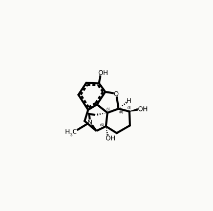 CN1CC[C@]23c4c5ccc(O)c4O[C@H]2[C@@H](O)CC[C@@]3(O)C1C5